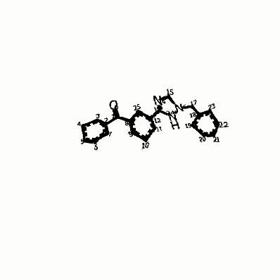 O=C(c1ccccc1)c1cccc(C2=NCN(Cc3ccccc3)N2)c1